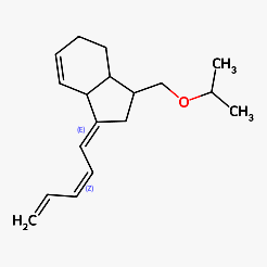 C=C/C=C\C=C1/CC(COC(C)C)C2CCC=CC12